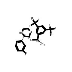 C[C@@H](O[C@H]1OCCN[C@H]1c1cccc(F)c1)c1cc(C(F)(F)F)cc(C(F)(F)F)c1